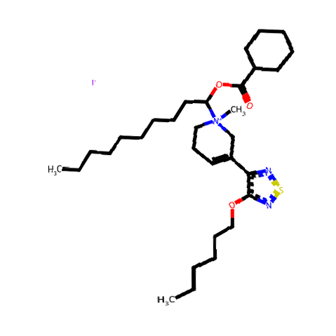 CCCCCCCCCC(OC(=O)C1CCCCC1)[N+]1(C)CCC=C(c2nsnc2OCCCCCC)C1.[I-]